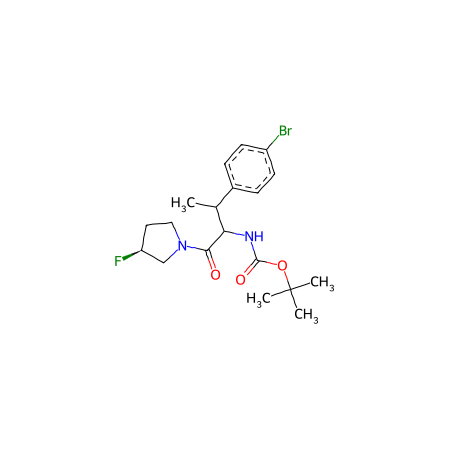 CC(c1ccc(Br)cc1)C(NC(=O)OC(C)(C)C)C(=O)N1CC[C@H](F)C1